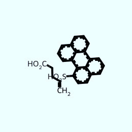 C=CCCC(=O)O.O=S(=O)(O)c1ccc2cccc3c4cccc5cccc(c1c23)c54